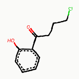 O=C(CCCCl)c1ccccc1O